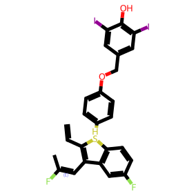 C=CC1=C(/C=C(\C)F)c2cc(F)ccc2[SH]1c1ccc(OCc2cc(I)c(O)c(I)c2)cc1